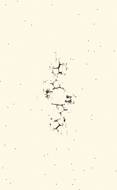 Nc1ncnc2c1ncn2C1OC2COP(=O)(O)NC3C(COP(=O)(O)NC2C1O)OC(n1cnc2c(N)ncnc21)C3O